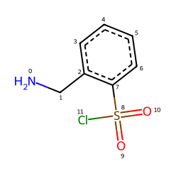 NCc1ccccc1S(=O)(=O)Cl